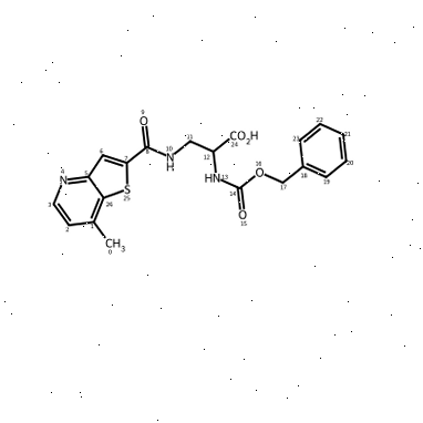 Cc1ccnc2cc(C(=O)NCC(NC(=O)OCc3ccccc3)C(=O)O)sc12